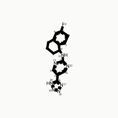 Fc1ccc2c(c1)CCCC2Nc1ncc(-c2nnn[nH]2)cn1